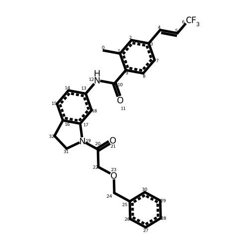 Cc1cc(C=CC(F)(F)F)ccc1C(=O)Nc1ccc2c(c1)N(C(=O)COCc1ccccc1)CC2